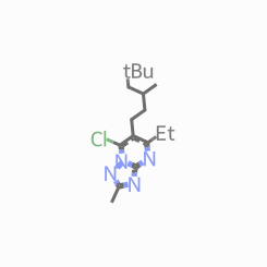 CCc1nc2nc(C)nn2c(Cl)c1CCC(C)CC(C)(C)C